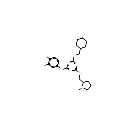 CCN1CCCC1CNc1nc(NCC2CCCCC2)nc(Nc2ccc(OC)c(F)c2)n1